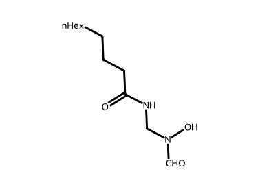 CCCCCCCCCC(=O)NCN(O)C=O